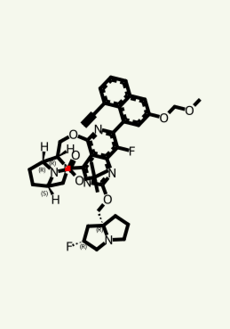 C#Cc1cccc2cc(OCOC)cc(-c3nc4c5c(nc(OC[C@]67CCCN6C[C@H](F)C7)nc5c3F)N3C[C@@H]5CC[C@H]([C@@H]3CO4)N5C(=O)OC(C)(C)C)c12